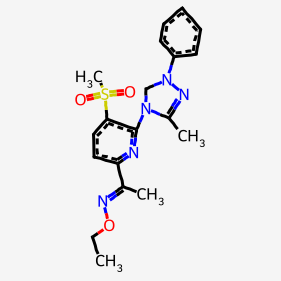 CCO/N=C(\C)c1ccc(S(C)(=O)=O)c(N2CN(c3ccccc3)N=C2C)n1